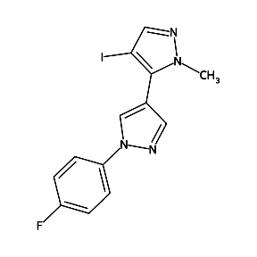 Cn1ncc(I)c1-c1cnn(-c2ccc(F)cc2)c1